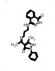 CC(=NCCCNc1n[nH]c(=O)c2ccccc12)c1c(C)[nH]n(-c2ccccc2)c1=O